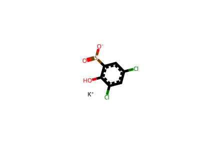 O=S([O-])c1cc(Cl)cc(Cl)c1O.[K+]